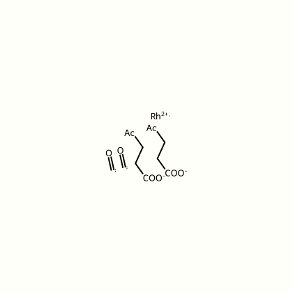 CC(=O)CCC(=O)[O-].CC(=O)CCC(=O)[O-].[C]=O.[C]=O.[Rh+2]